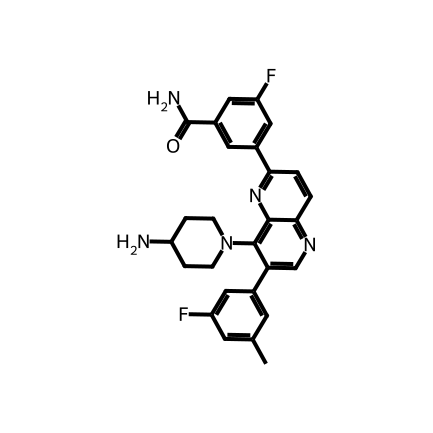 Cc1cc(F)cc(-c2cnc3ccc(-c4cc(F)cc(C(N)=O)c4)nc3c2N2CCC(N)CC2)c1